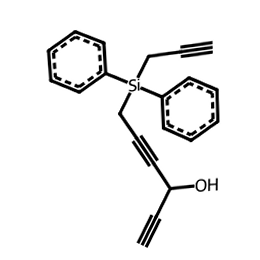 C#CC[Si](CC#CC(O)C#C)(c1ccccc1)c1ccccc1